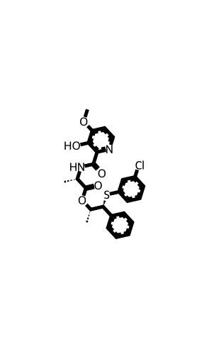 COc1ccnc(C(=O)N[C@@H](C)C(=O)O[C@@H](C)[C@H](Sc2cccc(Cl)c2)c2ccccc2)c1O